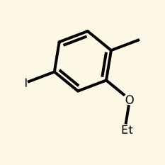 CCOc1cc(I)ccc1C